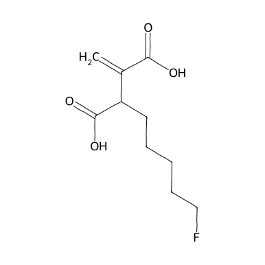 C=C(C(=O)O)C(CCCCCF)C(=O)O